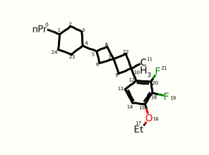 CCCC1CCC(C2CC3(C2)CC(C)(c2ccc(OCC)c(F)c2F)C3)CC1